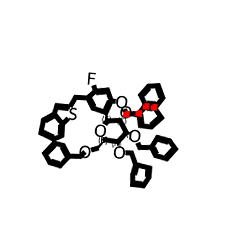 Fc1cc(OCc2ccccc2)c([C@@H]2O[C@H](COCc3ccccc3)[C@@H](OCc3ccccc3)[C@H](OCc3ccccc3)[C@H]2OCc2ccccc2)cc1Cc1cc2ccccc2s1